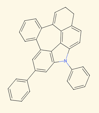 C1=C2c3ccccc3-c3cc(-c4ccccc4)cc4c3c3c2c(ccc3n4-c2ccccc2)CC1